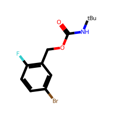 CC(C)(C)NC(=O)OCc1cc(Br)ccc1F